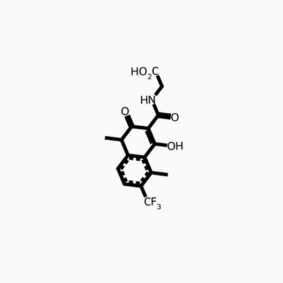 Cc1c(C(F)(F)F)ccc2c1C(O)=C(C(=O)NCC(=O)O)C(=O)C2C